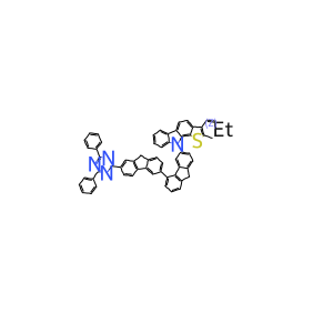 CC/C=C\c1c(C)sc2c1ccc1c3ccccc3n(-c3ccc4c(c3)-c3c(cccc3-c3ccc5c(c3)-c3ccc(-c6nc(-c7ccccc7)nc(-c7ccccc7)n6)cc3C5)C4)c12